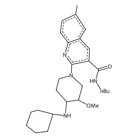 CCCCNC(=O)c1cc2cc(C)ccc2nc1N1CCC(NC2CCCCC2)C(OC)C1